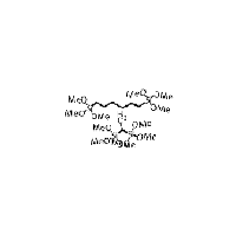 CO[Si](CCCCCC[Si](OC)(OC)OC)(OC)OC.CO[Si](OC)(OC)C(C)[Si](OC)(OC)OC